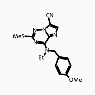 CCN(Cc1ccc(OC)cc1)c1nc(SC)nn2c(C#N)cnc12